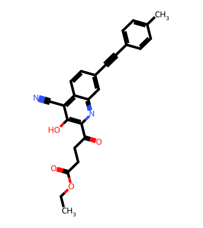 CCOC(=O)CCC(=O)c1nc2cc(C#Cc3ccc(C)cc3)ccc2c(C#N)c1O